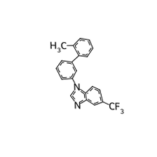 Cc1ccccc1-c1cccc(-n2cnc3cc(C(F)(F)F)ccc32)c1